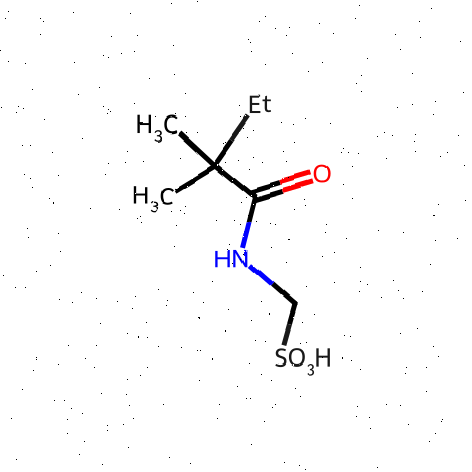 CCC(C)(C)C(=O)NCS(=O)(=O)O